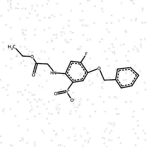 CCOC(=O)CNc1cc(F)c(OCc2ccccc2)cc1[N+](=O)[O-]